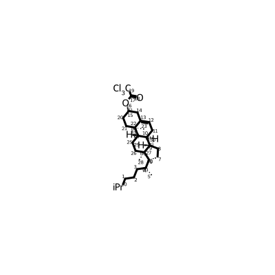 CC(C)CCC[C@@H](C)[C@H]1CC[C@H]2[C@@H]3CC=C4C[C@@H](OC(=O)C(Cl)(Cl)Cl)CC[C@]4(C)[C@H]3CC[C@]12C